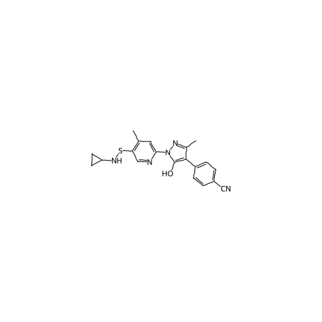 Cc1cc(-n2nc(C)c(-c3ccc(C#N)cc3)c2O)ncc1SNC1CC1